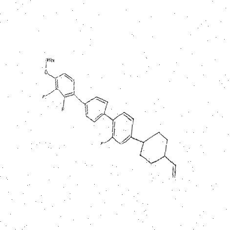 C=CC1CCC(c2ccc(-c3ccc(-c4ccc(OCCCCCC)c(F)c4F)cc3)c(F)c2)CC1